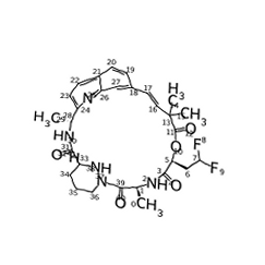 C[C@@H]1NC(=O)[C@H](CC(F)F)OC(=O)C(C)(C)/C=C/c2ccc3ccc(nc3c2)[C@@H](C)NC(=O)[C@@H]2CCCN(N2)C1=O